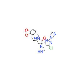 CCCCC(C(=O)NCc1ccc2c(c1)OCO2)(c1cc(Cl)nc(-n2ccnc2)n1)N1CCNCC1